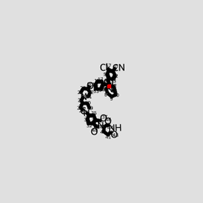 N#Cc1ccc(OC2CC3CCC(C2)N3C(=O)c2ccc(OC3CCN(CC4CCN(c5ccc6c(c5)C(=O)N(C5CCC(=O)NC5=O)C6=O)CC4)CC3)cc2)cc1Cl